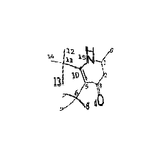 CC1CC(=O)C(C(C)(C)C)=C(C(C)(C)C)N1